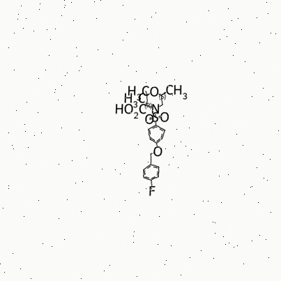 C[C@H]1CN(S(=O)(=O)c2ccc(OCc3ccc(F)cc3)cc2)[C@@H](C(=O)O)C(C)(C)O1